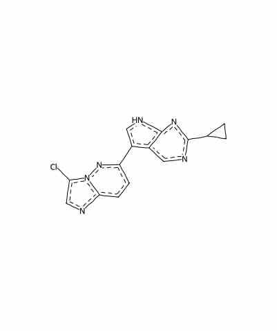 Clc1cnc2ccc(-c3c[nH]c4nc(C5CC5)ncc34)nn12